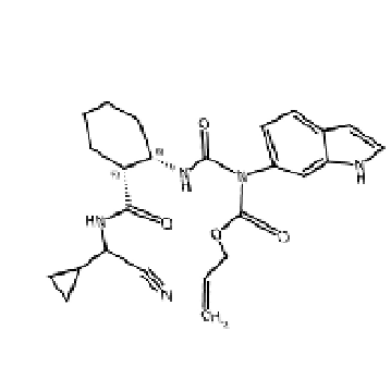 C=CCOC(=O)N(C(=O)N[C@H]1CCCC[C@H]1C(=O)NC(C#N)C1CC1)c1ccc2cc[nH]c2c1